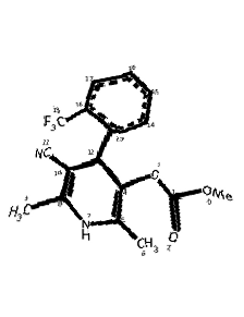 COC(=O)OC1=C(C)NC(C)=C(C#N)C1c1ccccc1C(F)(F)F